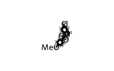 COc1ccc(S(=O)(=O)n2ccc3cc(Cl)ccc32)cc1